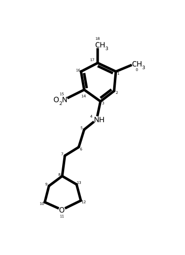 Cc1cc(NCCCC2CCOCC2)c([N+](=O)[O-])cc1C